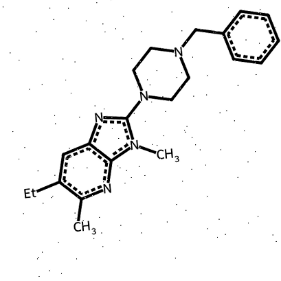 CCc1cc2nc(N3CCN(Cc4ccccc4)CC3)n(C)c2nc1C